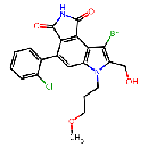 COCCCn1c(CO)c(Br)c2c3c(c(-c4ccccc4Cl)cc21)C(=O)NC3=O